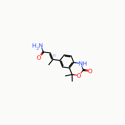 C/C(=C\C(N)=O)c1ccc2c(c1)C(C)(C)OC(=O)N2